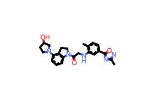 Cc1noc(-c2ccc(C)c(NCC(=O)N3CCc4c(N5CCC(O)C5)cccc43)c2)n1